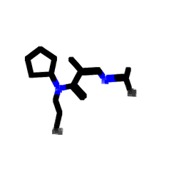 C=C(/C(C)=C\N=C(/C)CC)N(CCC(C)=O)C1CCCC1